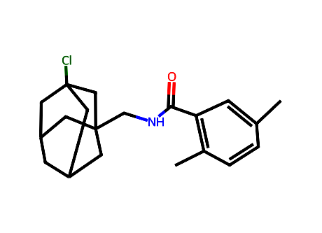 Cc1ccc(C)c(C(=O)NCC23CC4CC(CC(Cl)(C4)C2)C3)c1